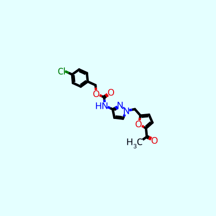 CC(=O)c1ccc(Cn2ccc(NC(=O)OCc3ccc(Cl)cc3)n2)o1